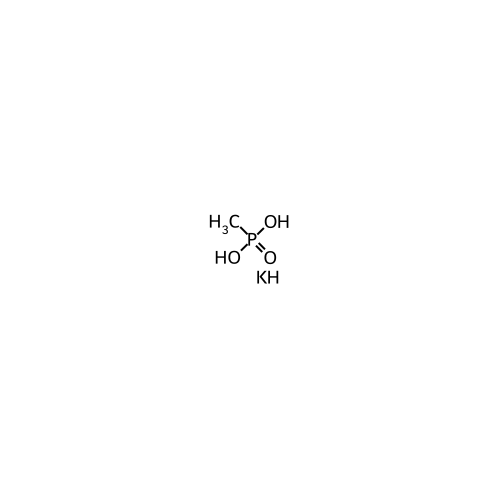 CP(=O)(O)O.[KH]